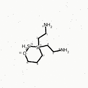 NCC[Si]1(CCN)CCCO[SiH2]1